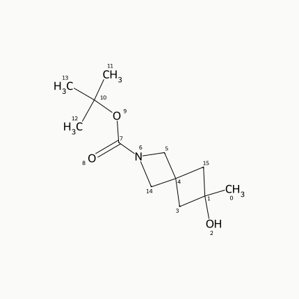 CC1(O)CC2(CN(C(=O)OC(C)(C)C)C2)C1